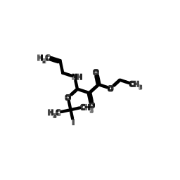 C=CCNC(OC(C)(C)I)C(=O)C(=O)OCC